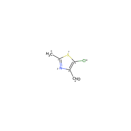 Cc1nc(C=O)c(Cl)s1